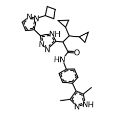 Cc1n[nH]c(C)c1-c1ccc(NC(=O)C(c2nnc(-c3ccnn3C3CCC3)[nH]2)C(C2CC2)C2CC2)cc1